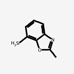 Cc1nc2cccc([SiH3])c2o1